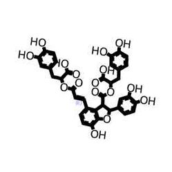 O=C(/C=C/c1ccc(O)c2c1C(C(=O)OC(Cc1ccc(O)c(O)c1)C(=O)O)C(c1ccc(O)c(O)c1)O2)OC(Cc1ccc(O)c(O)c1)C(=O)O